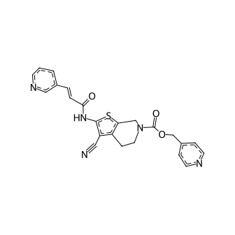 N#Cc1c(NC(=O)/C=C/c2cccnc2)sc2c1CCN(C(=O)OCc1ccncc1)C2